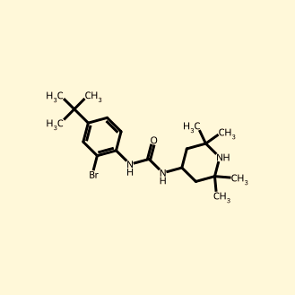 CC1(C)CC(NC(=O)Nc2ccc(C(C)(C)C)cc2Br)CC(C)(C)N1